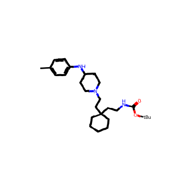 Cc1ccc(NC2CCN(CCC3(CCNC(=O)OC(C)(C)C)CCCCC3)CC2)cc1